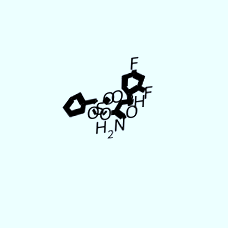 [2H]C1(c2ccc(F)cc2F)OC(N)=C(OS(=O)(=O)Cc2ccccc2)C1=O